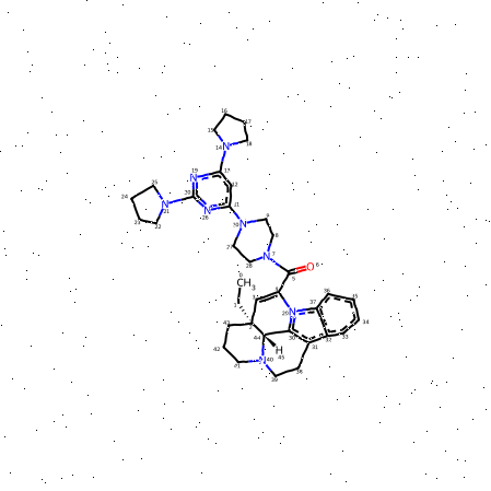 CC[C@@]12C=C(C(=O)N3CCN(c4cc(N5CCCC5)nc(N5CCCC5)n4)CC3)n3c4c(c5ccccc53)CCN(CCC1)[C@@H]42